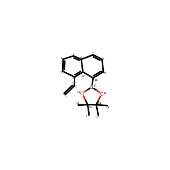 C=Cc1cccc2cccc(B3OC(C)(C)C(C)(C)O3)c12